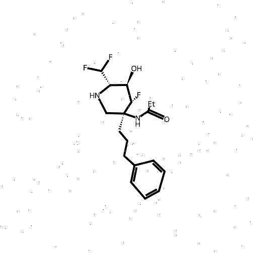 CCC(=O)N[C@@]1(CCCc2ccccc2)CN[C@H](C(F)F)[C@@H](O)[C@@H]1F